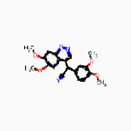 COc1ccc(C(C#N)c2cnnc3cc(OC)c(OC)cc23)cc1OC